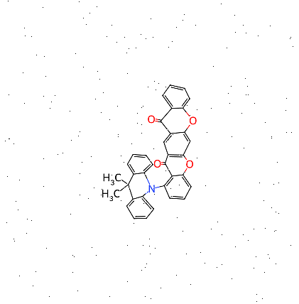 CC1(C)c2ccccc2N(c2cccc3oc4cc5oc6ccccc6c(=O)c5cc4c(=O)c23)c2ccccc21